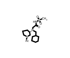 CC(=O)N1CCC[C@H](N(CC(=O)NS(C)(=O)=O)CC2CCCCC2)C1